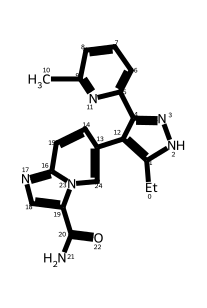 CCc1[nH]nc(-c2cccc(C)n2)c1-c1ccc2ncc(C(N)=O)n2c1